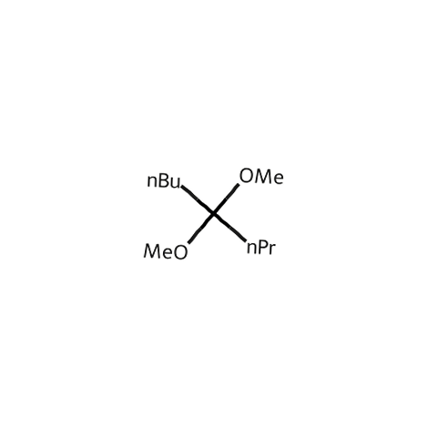 CCCCC(CCC)(OC)OC